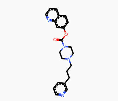 O=C(Oc1ccc2cccnc2c1)N1CCN(CCCc2cccnc2)CC1